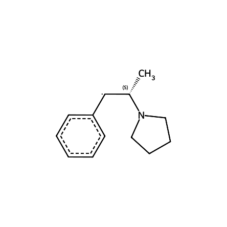 C[C@@H]([CH]c1ccccc1)N1CCCC1